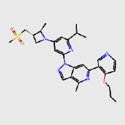 CCCOc1ccncc1-c1cc2c(cnn2-c2cc(N3C[C@H](CS(C)(=O)=O)[C@H]3C)cc(C(C)C)n2)c(C)n1